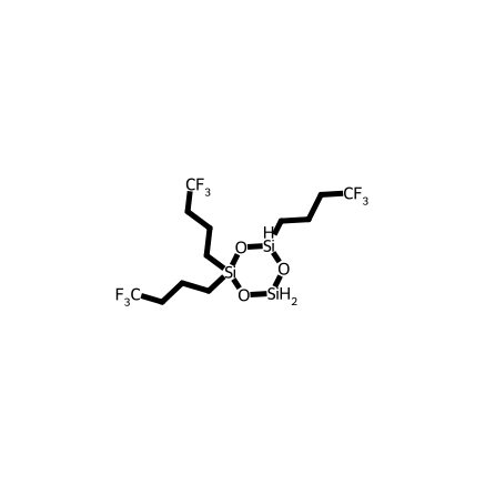 FC(F)(F)CCC[SiH]1O[SiH2]O[Si](CCCC(F)(F)F)(CCCC(F)(F)F)O1